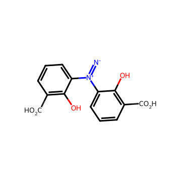 [N-]=[N+](c1cccc(C(=O)O)c1O)c1cccc(C(=O)O)c1O